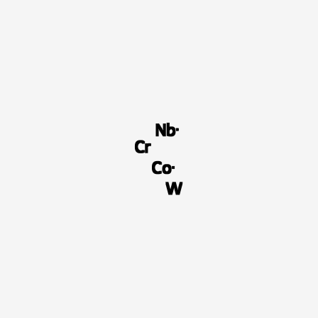 [Co].[Cr].[Nb].[W]